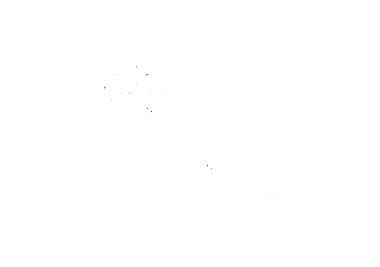 Cc1ccc2cnc(-c3ccc(N4C(=O)[C@@H]5[C@@H]6C=CC(C6)[C@@H]5C4=O)cc3)nc2c1